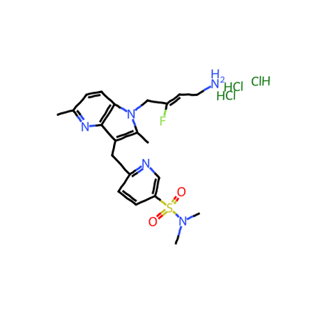 Cc1ccc2c(n1)c(Cc1ccc(S(=O)(=O)N(C)C)cn1)c(C)n2C/C(F)=C/CN.Cl.Cl.Cl